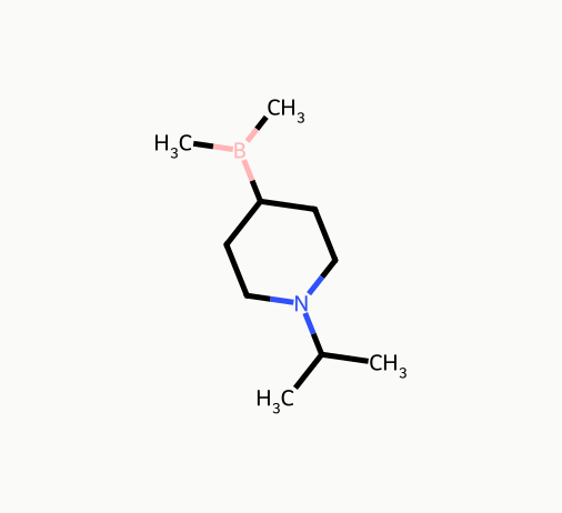 CB(C)C1CCN(C(C)C)CC1